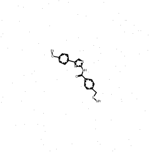 CCCSCc1ccc(C(=O)Nc2nc(-c3ccc(OCC)cc3)cs2)cc1